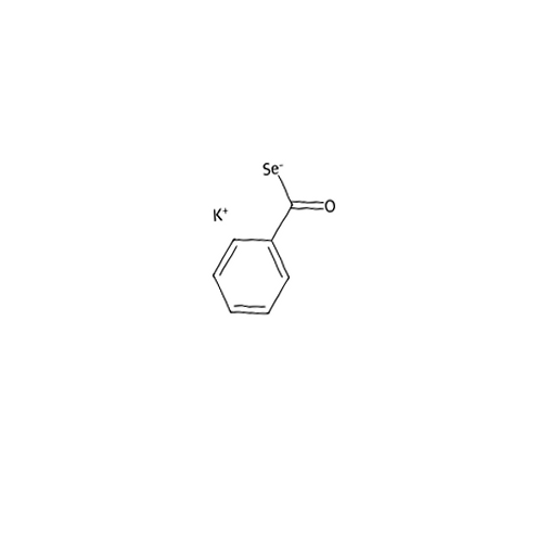 O=C([Se-])c1ccccc1.[K+]